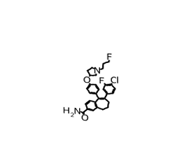 NC(=O)c1ccc2c(c1)CCCC(c1ccc(Cl)c(F)c1)=C2c1ccc(O[C@H]2CCN(CCCF)C2)cc1